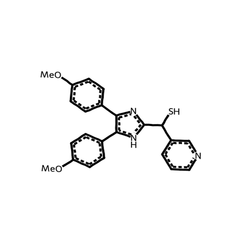 COc1ccc(-c2nc(C(S)c3cccnc3)[nH]c2-c2ccc(OC)cc2)cc1